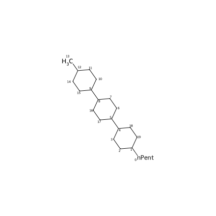 CCCCCC1CCC(C2CCC(C3CCC(C)CC3)CC2)CC1